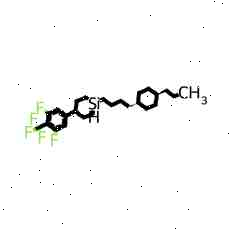 CCC[C@H]1CC[C@H](CCCC[SiH]2CCC(c3cc(F)c(C(F)(F)F)c(F)c3)CC2)CC1